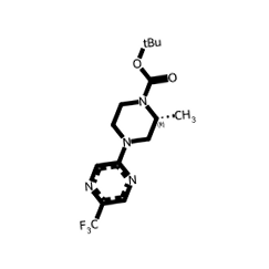 C[C@@H]1CN(c2cnc(C(F)(F)F)cn2)CCN1C(=O)OC(C)(C)C